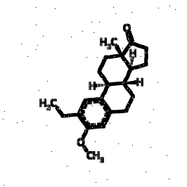 CCc1cc2c(cc1OC)CC[C@@H]1[C@@H]2CC[C@]2(C)C(=O)CC[C@@H]12